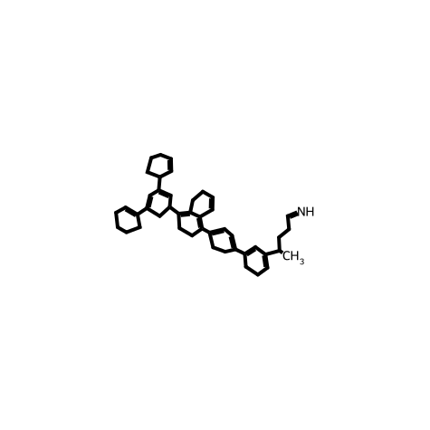 CC(CCC=N)C1=CCCC(C2=CC=C(C3=C4C=CCCC4=C(C4C=C(C5C=CCCC5)C=C(C5=CCCCC5)C4)CC3)CC2)=C1